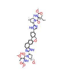 CC[C@H](C)[C@H](NC(=O)OC)C(=O)N1C[C@@H](C)C[C@H]1c1ncc(-c2ccc3c(c2)COc2cc4c(ccc5nc([C@@H]6C[C@H](COC)CN6C(O)[C@@H](NC(=O)OC)[C@@H](C)OC)[nH]c54)cc2-3)[nH]1